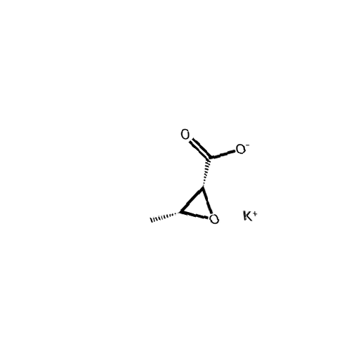 C[C@H]1O[C@H]1C(=O)[O-].[K+]